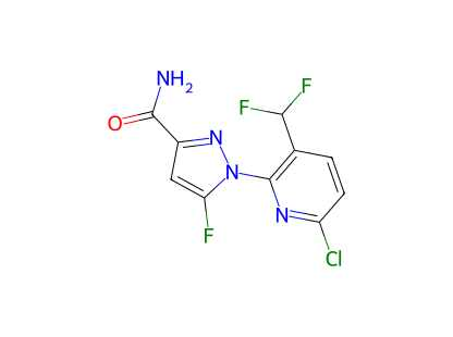 NC(=O)c1cc(F)n(-c2nc(Cl)ccc2C(F)F)n1